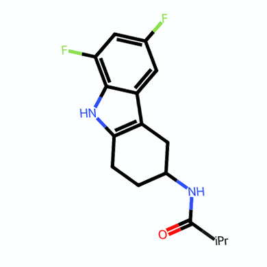 CC(C)C(=O)NC1CCc2[nH]c3c(F)cc(F)cc3c2C1